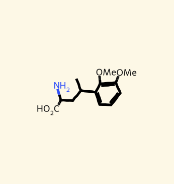 COc1cccc(C(C)CC(N)C(=O)O)c1OC